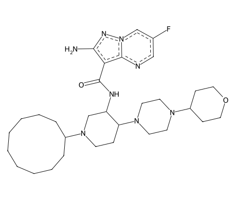 Nc1nn2cc(F)cnc2c1C(=O)NC1CN(C2CCCCCCCCC2)CCC1N1CCN(C2CCOCC2)CC1